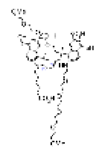 COCCOCCOCCOCCOCCNc1ccc2c(S)cc(S(=O)(=O)O)cc2c1C(C)(C/C=C/C=C1/N(CCCCCC(=O)O)c2ccc3c(SO)cc(S(=O)(=O)O)cc3c2C1(C)C)CCOCCOCCOCCOC